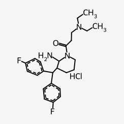 CCN(CC)CCC(=O)N1CCCC(C(c2ccc(F)cc2)c2ccc(F)cc2)C1N.Cl